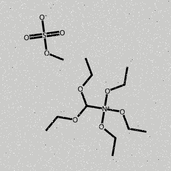 CCOC(OCC)[N+](OCC)(OCC)OCC.COS(=O)(=O)[O-]